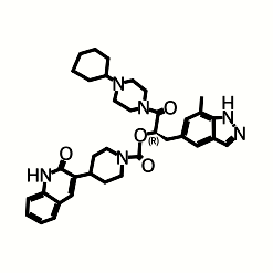 Cc1cc(C[C@@H](OC(=O)N2CCC(c3cc4ccccc4[nH]c3=O)CC2)C(=O)N2CCN(C3CCCCC3)CC2)cc2cn[nH]c12